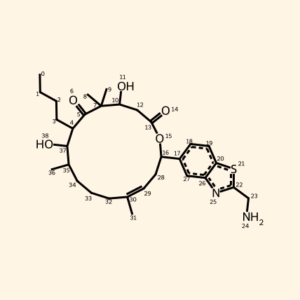 CCCCC1C(=O)C(C)(C)C(O)CC(=O)OC(c2ccc3sc(CN)nc3c2)CC=C(C)CCCC(C)C1O